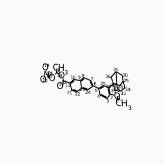 COc1ccc(-c2ccc3cc(C(=O)OC(C)O[N+](=O)[O-])ccc3c2)cc1C12CC3CC(CC(C3)C1)C2